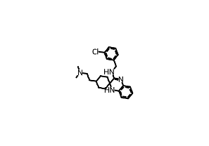 CN(C)CCC1CCC2(CC1)Nc1ccccc1N=C2NCc1cccc(Cl)c1